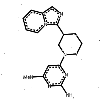 CNc1cc(N2CCCC(c3ncc4ccccn34)C2)nc(N)n1